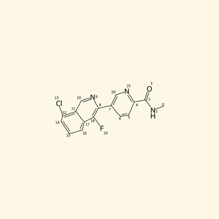 CNC(=O)c1ccc(-c2ncc3c(Cl)cccc3c2F)cn1